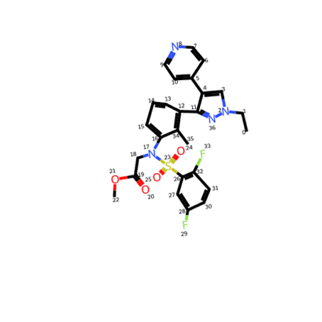 CCn1cc(-c2ccncc2)c(-c2cccc(N(CC(=O)OC)S(=O)(=O)c3cc(F)ccc3F)c2C)n1